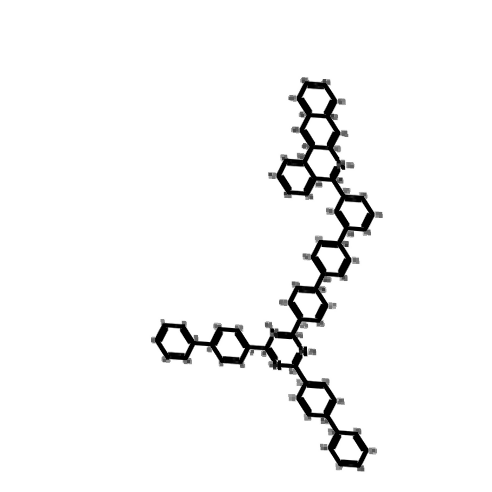 c1ccc(-c2ccc(-c3nc(-c4ccc(-c5ccccc5)cc4)nc(-c4ccc(-c5ccc(-c6cccc(-c7nc8cc9ccccc9cc8c8ccccc78)c6)cc5)cc4)n3)cc2)cc1